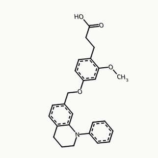 COc1cc(OCc2ccc3c(c2)N(c2ccccc2)CCC3)ccc1CCC(=O)O